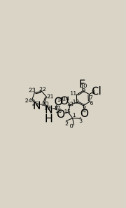 CC1(C)COc2cc(Cl)c(F)cc2C(=O)C1OC(=O)Nc1ccccn1